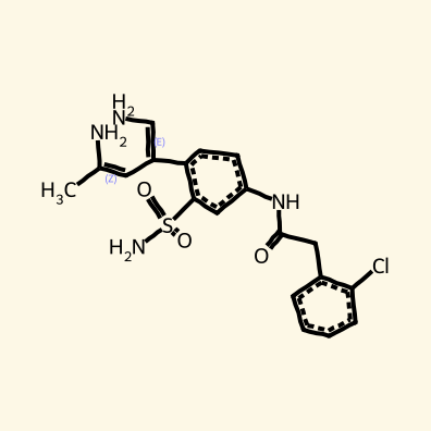 C/C(N)=C/C(=C\N)c1ccc(NC(=O)Cc2ccccc2Cl)cc1S(N)(=O)=O